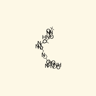 Cc1cc(-c2ncnn3cc(CCN4CCC(c5ccn6c(N7CCC(=O)NC7=O)cnc6c5)CC4)cc23)ccc1CNC(=O)c1noc(C(C)(C)C)n1